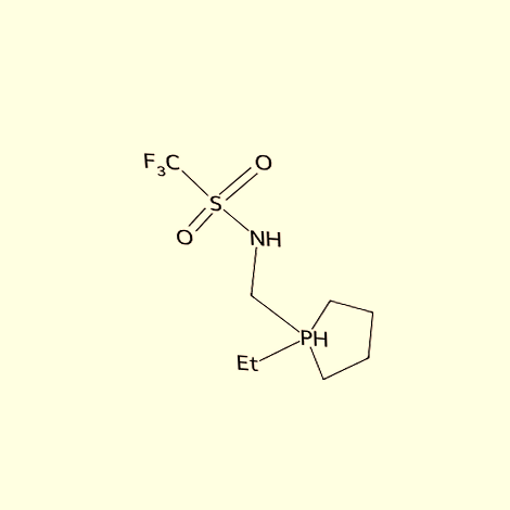 CC[PH]1(CNS(=O)(=O)C(F)(F)F)CCCC1